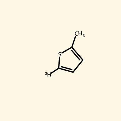 [3H]c1ccc(C)s1